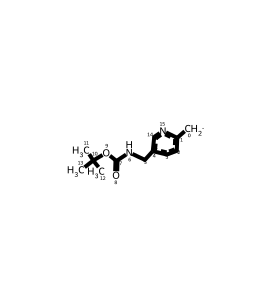 [CH2]c1ccc(CNC(=O)OC(C)(C)C)cn1